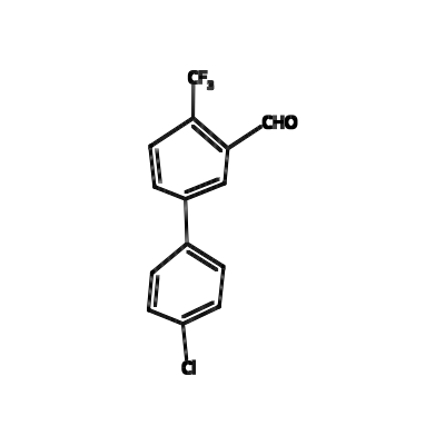 O=Cc1cc(-c2ccc(Cl)cc2)ccc1C(F)(F)F